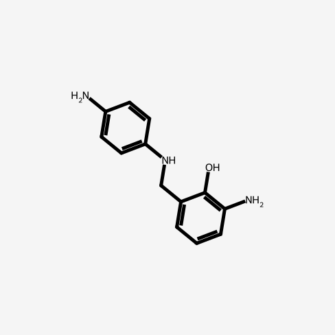 Nc1ccc(NCc2cccc(N)c2O)cc1